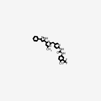 Cc1cc(-c2cc(-c3ccccc3)n[nH]2)nc(Cc2ccc(NC(=O)Nc3ccc(Cl)c(C(F)(F)F)c3)nc2)n1